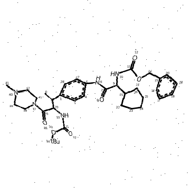 CC(c1ccc(NC(=O)C(NC(=O)OCc2ccccc2)C2CCCCC2)cc1)C(NC(=O)OC(C)(C)C)C(=O)N1CCN(C)CC1